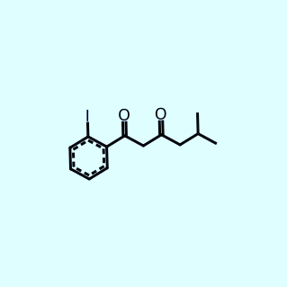 CC(C)CC(=O)CC(=O)c1ccccc1I